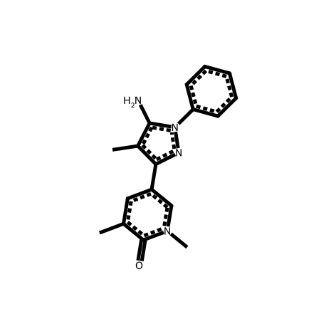 Cc1c(-c2cc(C)c(=O)n(C)c2)nn(-c2ccccc2)c1N